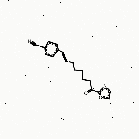 N#Cc1ccc(C=CCCCCCC(=O)c2ncco2)cc1